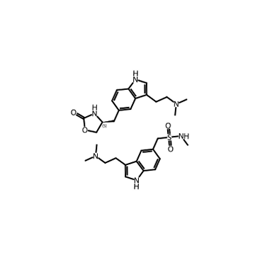 CN(C)CCc1c[nH]c2ccc(C[C@H]3COC(=O)N3)cc12.CNS(=O)(=O)Cc1ccc2[nH]cc(CCN(C)C)c2c1